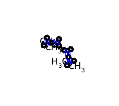 Cc1cccc(C)c1-n1c2ccccc2c2cc(-n3c4ccccc4c4cc(-c5ccc6c(c5)c5ccccc5n6-c5ccc6c(c5)c5ccccc5n6-c5c(C)cccc5C)ccc43)ccc21